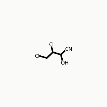 N#CC(O)C(Cl)CCl